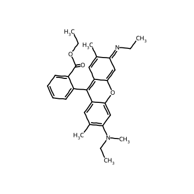 CC/N=c1\cc2oc3cc(N(C)CC)c(C)cc3c(-c3ccccc3C(=O)OCC)c-2cc1C